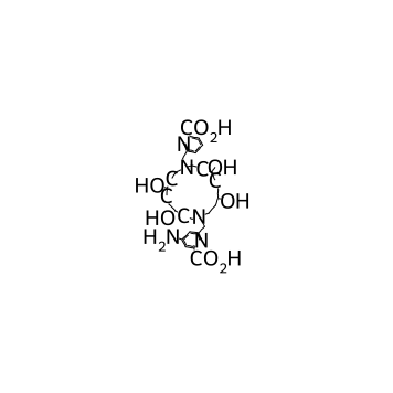 Nc1cc(CN2CCC(O)CCC(O)CCN(Cc3cccc(C(=O)O)n3)CCC(O)CCC(O)CC2)nc(C(=O)O)c1